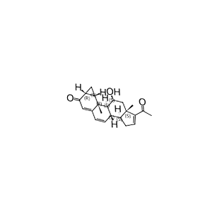 CC(=O)C1=CC[C@H]2[C@@H]3C=CC4=CC(=O)[C@@H]5C[C@@H]5[C@]4(C)[C@H]3[C@@H](O)C[C@]12C